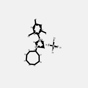 Cc1cc(C)c(-[n+]2ccn(C3CCCCCCC3)c2)c(C)c1.F[B-](F)(F)F